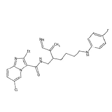 C=C(C=N)C(CCCCNc1ccc(F)cc1)CNC(=O)c1c(CC)nc2ccc(Cl)cn12